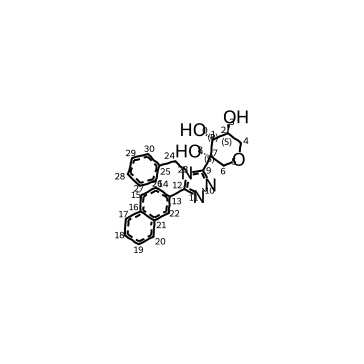 O[C@@H]1[C@@H](O)COC[C@@]1(O)c1nnc(-c2ccc3ccccc3c2)n1Cc1ccccc1